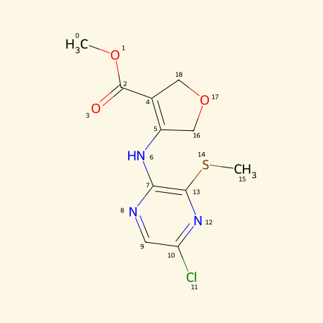 COC(=O)C1=C(Nc2ncc(Cl)nc2SC)COC1